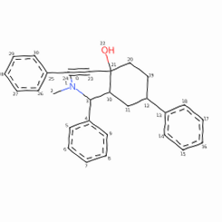 CN(C)C(c1ccccc1)C1CC(c2ccccc2)CCC1(O)C#Cc1ccccc1